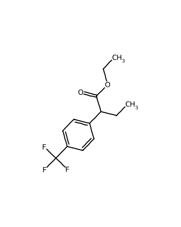 CCOC(=O)C(CC)c1ccc(C(F)(F)F)cc1